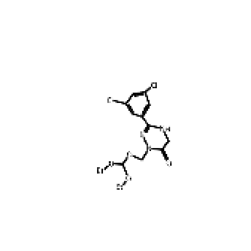 CCOC(OCC)OCN1N=C(c2cc(Cl)cc(Cl)c2)NCC1=O